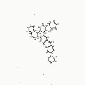 c1ccc(-c2ccc(Nc3ccc(-c4ccc5ccccc5c4-c4ccc5c(c4)oc4ccccc45)cc3)cc2)cc1